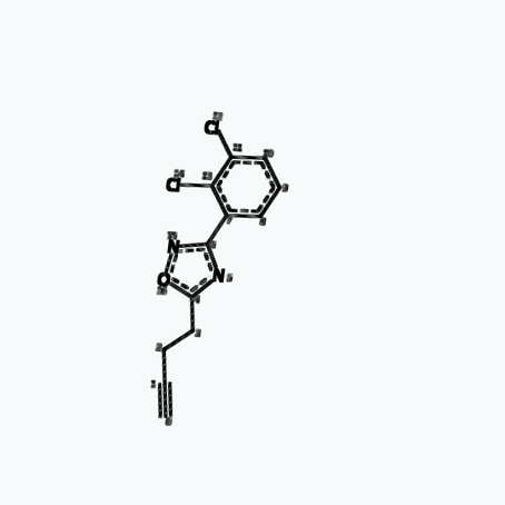 C#CCCc1nc(-c2cccc(Cl)c2Cl)no1